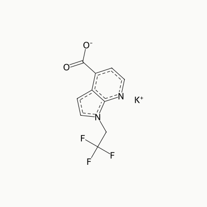 O=C([O-])c1ccnc2c1ccn2CC(F)(F)F.[K+]